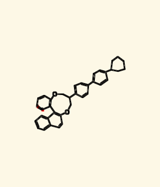 c1ccc2c3c(ccc2c1)OCC(c1ccc(-c2ccc(C4CCCCC4)cc2)cc1)COc1ccc2ccccc2c1-3